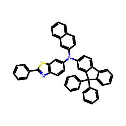 c1ccc(-c2nc3ccc(N(c4ccc5c(c4)C(c4ccccc4)(c4ccccc4)c4ccccc4-5)c4ccc5ccccc5c4)cc3s2)cc1